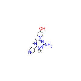 C=C1/C(N2CCC(O)CC2)=N\C(N)=N/N(CC)C(c2ccncc2)N1C